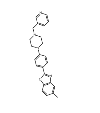 Cc1ccc2oc(-c3ccc(N4CCN(Cc5cccnc5)CC4)cc3)nc2c1